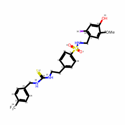 COc1cc(CNS(=O)(=O)c2ccc(CCNC(=S)NCc3ccc(C(F)(F)F)cc3)cc2)c(I)cc1O